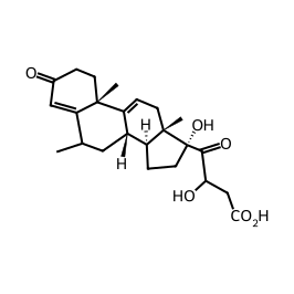 CC1C[C@@H]2C(=CC[C@@]3(C)[C@H]2CC[C@]3(O)C(=O)C(O)CC(=O)O)[C@@]2(C)CCC(=O)C=C12